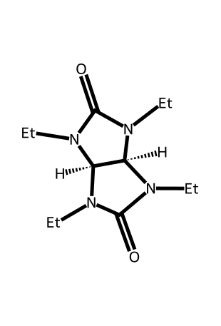 CCN1C(=O)N(CC)[C@H]2[C@@H]1N(CC)C(=O)N2CC